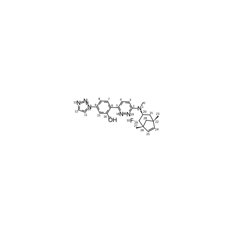 CN(c1ccc(-c2ccc(-n3ccnn3)cc2O)nn1)[C@H]1C[C@]2(C)C=C[C@@](C)(C2)[C@@H]1F